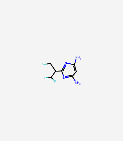 Nc1cc(N)nc(C(CF)C(F)F)n1